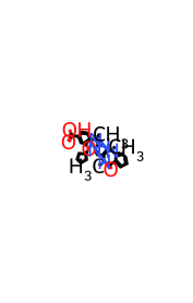 CN1C(=O)c2ccccc2N(C)c2nc(N(C)c3ccc(C(=O)O)cc3OC3CCCC3)ncc21